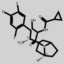 N[C@H](Cc1cc(F)c(F)cc1F)C1CC2CC[C@@H](C1)N2C(=O)C(CO)NC(=O)C1CC1